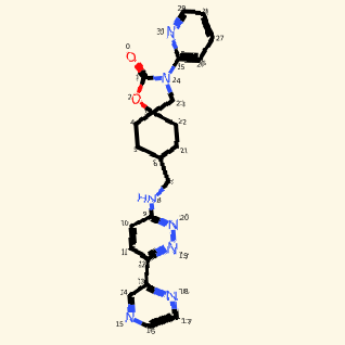 O=C1OC2(CCC(CNc3ccc(-c4cnccn4)nn3)CC2)CN1c1ccccn1